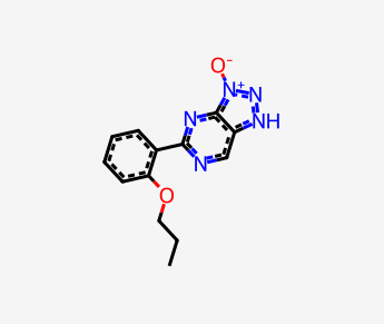 CCCOc1ccccc1-c1ncc2[nH]n[n+]([O-])c2n1